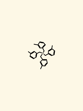 Cc1cccc([CH2][Zr]([CH2]c2cccc(C)c2)([CH2]c2cccc(C)c2)[CH2]c2cccc(C)c2)c1